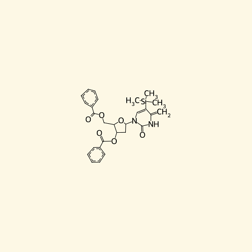 C=C1NC(=O)N(C2CC(OC(=O)c3ccccc3)C(COC(=O)c3ccccc3)O2)C=C1[Si](C)(C)C